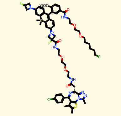 Cc1sc2c(c1C)C(c1ccc(Cl)cc1)=N[C@H](CC(=O)NCCOCCOCCNC(=O)C1(F)C[N+](=C3C=CC4=C(c5cc(C(=O)NCCOCCOCCCCCCCl)ccc5C(=O)[O-])c5ccc(N6CC(F)C6)cc5[Si](C)(C)C4=C3)C1)c1nnc(C)n1-2